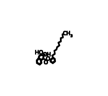 CCCCCCCCCCCCc1ccccc1OC(=O)c1c(O)c(O)cc2ccccc12